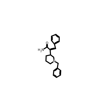 NC(=O)C(=Cc1ccccc1)C1CCCN(Cc2ccccc2)C1